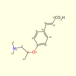 CC(CN(C)C)Oc1ccc(/C=C/C(=O)O)cc1